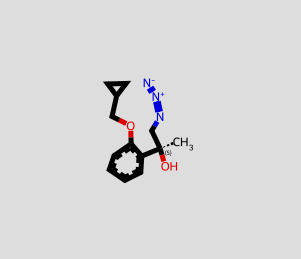 C[C@@](O)(CN=[N+]=[N-])c1ccccc1OCC1CC1